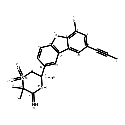 CC#Cc1cc(F)c2sc3ccc([C@]4(C)CS(=O)(=O)C(C)(C)C(=N)N4)cc3c2c1